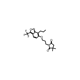 CCCc1c(OCCCN2C(=O)CC(C)(C)C2=O)ccc2c(C(F)(F)F)onc12